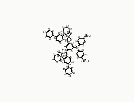 CC(C)(C)c1ccc(N(c2ccc(C(C)(C)C)cc2)c2cc(N3c4ccc(-c5ccccc5)cc4C4(CCCCC4)C3(C)C)cc(N3c4ccc(-c5ccccc5)cc4C4(CCCCC4)C3(C)C)c2)cc1